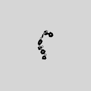 O=c1n(-c2ccc(OCCn3cnc(-c4ccccc4)c3)cc2)ccn1-c1ccc(OC2CCCC2)cc1